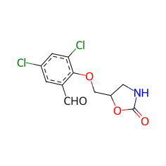 O=Cc1cc(Cl)cc(Cl)c1OCC1CNC(=O)O1